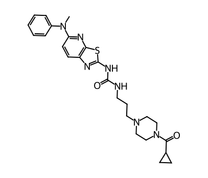 CN(c1ccccc1)c1ccc2nc(NC(=O)NCCCN3CCN(C(=O)C4CC4)CC3)sc2n1